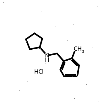 Cc1ccccc1CNC1CCCC1.Cl